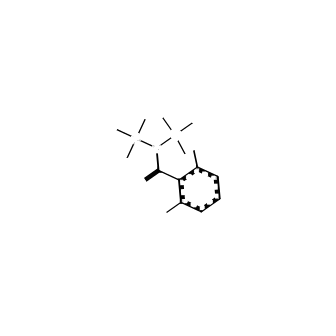 C[Si](C)(C)N(C(=O)c1c(F)cccc1F)[Si](C)(C)C